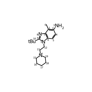 Cc1c(N)ccc2c1nc(C(C)(C)C)n2CCN1CCCCC1